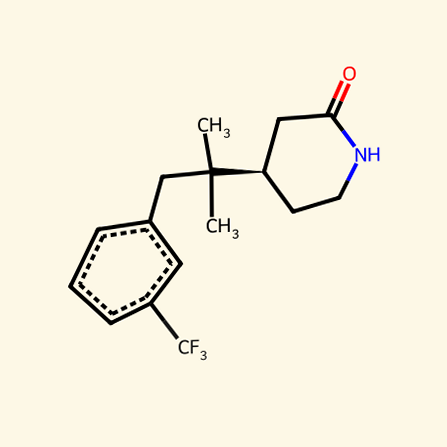 CC(C)(Cc1cccc(C(F)(F)F)c1)[C@@H]1CCNC(=O)C1